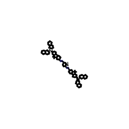 CC1(C)c2cc(/C=C/c3ccc(/C=C/c4ccc5c(c4)C(C)(C)c4cc(N(c6ccc7ccccc7c6)c6ccc7ccccc7c6)ccc4-5)nc3)ccc2-c2ccc(N(c3ccc4ccccc4c3)c3ccc4ccccc4c3)cc21